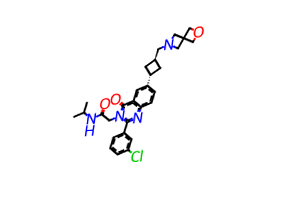 CC(C)NC(=O)Cn1c(-c2cccc(Cl)c2)nc2ccc([C@H]3C[C@H](CN4CC5(COC5)C4)C3)cc2c1=O